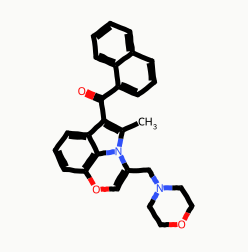 Cc1c(C(=O)c2cccc3ccccc23)c2cccc3c2n1C(CN1CCOCC1)=CO3